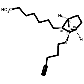 C#CCCCS[C@H]1[C@@H](CCCCCCC(=O)O)[C@H]2CC[C@@H]1O2